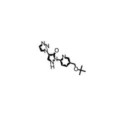 CC(C)(C)OCc1ccc(-n2[nH]cc(-n3ccnn3)c2=O)nc1